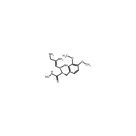 COc1ccc(C[C@@H](C(=O)NO)N(N)/C=C(\N)CN)cc1OC